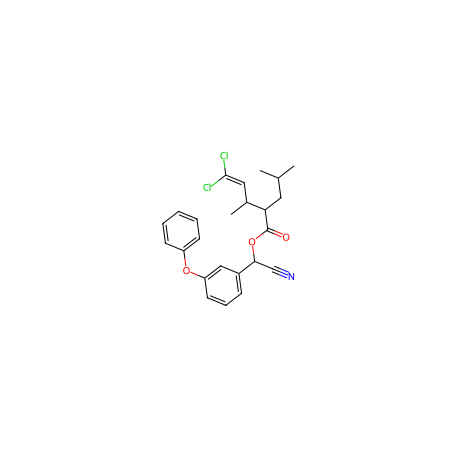 CC(C)CC(C(=O)OC(C#N)c1cccc(Oc2ccccc2)c1)C(C)C=C(Cl)Cl